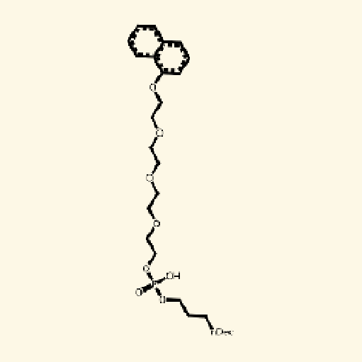 CCCCCCCCCCCCCOP(=O)(O)OCCOCCOCCOCCOc1cccc2ccccc12